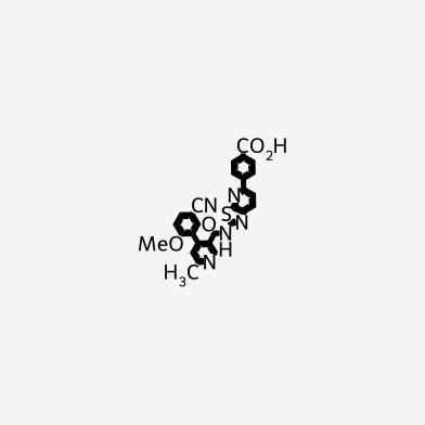 COc1ccc(C#N)cc1-c1cc(C)ncc1C(=O)Nc1nc2ccc(-c3ccc(C(=O)O)cc3)nc2s1